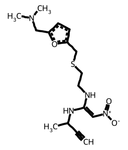 C#CC(C)NC(=C[N+](=O)[O-])NCCSCc1ccc(CN(C)C)o1